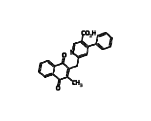 CC1=C(Cc2cc(-c3ccccc3)c(C(=O)O)cn2)C(=O)c2ccccc2C1=O